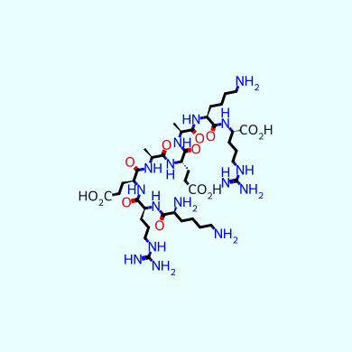 C[C@H](NC(=O)[C@H](CCC(=O)O)NC(=O)[C@H](C)NC(=O)[C@H](CCC(=O)O)NC(=O)[C@H](CCCNC(=N)N)NC(=O)[C@@H](N)CCCCN)C(=O)N[C@@H](CCCCN)C(=O)N[C@@H](CCCNC(=N)N)C(=O)O